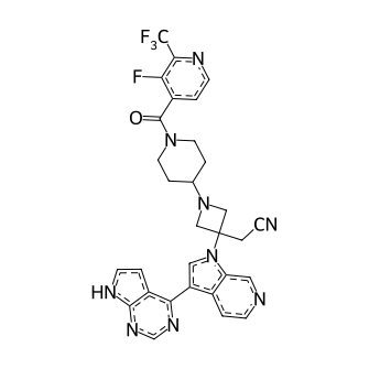 N#CCC1(n2cc(-c3ncnc4[nH]ccc34)c3ccncc32)CN(C2CCN(C(=O)c3ccnc(C(F)(F)F)c3F)CC2)C1